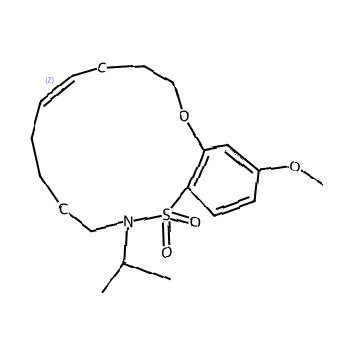 COc1ccc2c(c1)OCCC/C=C\CCCCN(C(C)C)S2(=O)=O